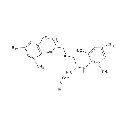 Cc1cc(C)c(NC(C)CNCC(C)Nc2c(C)cc(C)cc2C)c(C)c1.[Br-].[Br-].[Co+2]